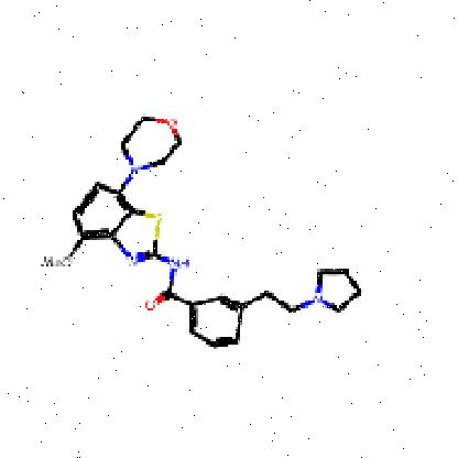 COc1ccc(N2CCOCC2)c2sc(NC(=O)c3cccc(CCN4CCCC4)c3)nc12